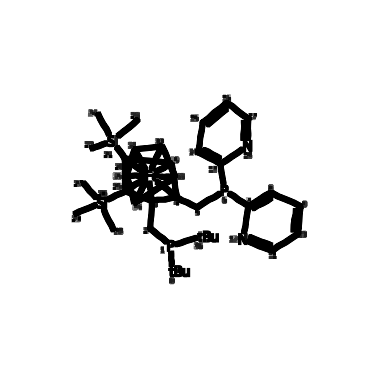 CC(C)(C)P(C[C]12[C]3(CP(c4ccccn4)c4ccccn4)[CH]4[C]5([Si](C)(C)C)[C]1([Si](C)(C)C)[Fe]43251678[CH]2[CH]1[CH]6[CH]7[CH]28)C(C)(C)C